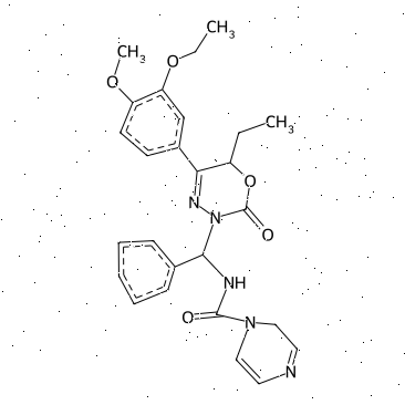 CCOc1cc(C2=NN(C(NC(=O)N3C=CN=CC3)c3ccccc3)C(=O)OC2CC)ccc1OC